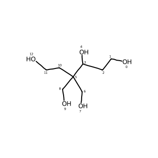 OCCC(O)C(CO)(CO)CCO